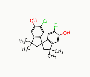 CC1(C)CC2(CC(C)(C)c3cc(O)c(Cl)cc32)c2cc(Cl)c(O)cc21